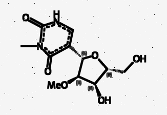 CO[C@@H]1[C@H](O)[C@@H](CO)O[C@H]1c1c[nH]c(=O)n(C)c1=O